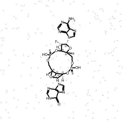 Nc1ncnc2c1ncn2[C@@H]1O[C@@H]2COP(O)(=S)O[C@@H]3[C@@H](F)[C@@H](COP(O)(=S)O[C@H]2[C@@H]1F)O[C@H]3n1cnc2c(=O)[nH]cnc21